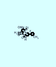 CCOc1nc([C@@H](CS(C)(=O)=O)n2c(=O)[nH]c3cc(-c4cc(C)ccc4F)cnc32)ccc1OC